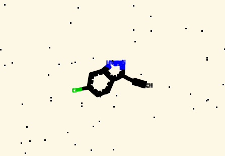 C#Cc1n[nH]c2cc(Cl)ccc12